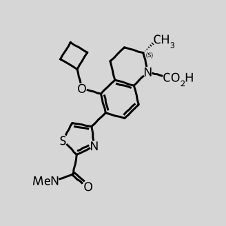 CNC(=O)c1nc(-c2ccc3c(c2OC2CCC2)CC[C@H](C)N3C(=O)O)cs1